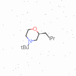 CC(C)C[C@H]1CN(C(C)(C)C)CCO1